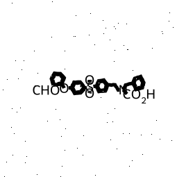 O=Cc1ccccc1Oc1ccc(S(=O)(=O)c2ccc(CCN(Cc3ccccc3)C(=O)O)cc2)cc1